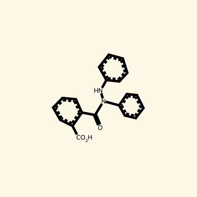 O=C(O)c1ccccc1C(=O)N(Nc1ccccc1)c1ccccc1